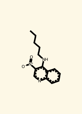 CCCCCNc1c([N+](=O)[O-])cnc2ccccc12